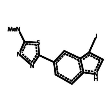 CNc1nnc(-c2ccc3[nH]cc(I)c3c2)s1